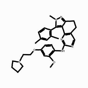 COc1cc(OCCN2CCCC2)ccc1Nc1ncc2c(n1)-c1c(nn(C)c1-c1ccc(C)cc1C)CC2